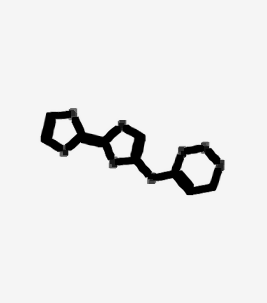 C1=CSC(=C2SC=C(SC3=CCSSS3)S2)S1